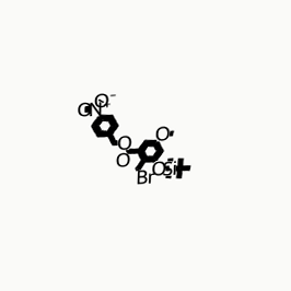 COc1cc(O[Si](C)(C)C(C)(C)C)c(CBr)c(C(=O)OCc2ccc([N+](=O)[O-])cc2)c1